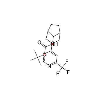 CC(C)(C)OC(=O)NC1C2CCC1CN(c1ccnc(C(F)(F)F)c1)C2